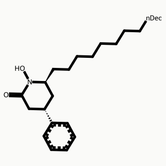 CCCCCCCCCCCCCCCCCC[C@H]1C[C@H](c2ccccc2)CC(=O)N1O